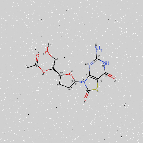 COCC(OC(C)=O)[C@@H]1CC[C@H](n2c(=O)sc3c(=O)[nH]c(N)nc32)O1